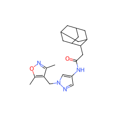 Cc1noc(C)c1Cn1cc(NC(=O)CC2C3CC4CC(C3)CC2C4)cn1